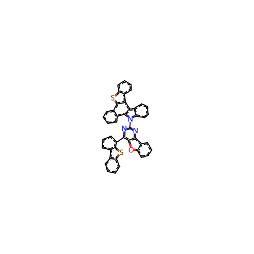 c1ccc2c(c1)oc1c(-c3cccc4c3sc3ccccc34)nc(-n3c4ccccc4c4c5c6ccccc6sc5c5ccccc5c43)nc12